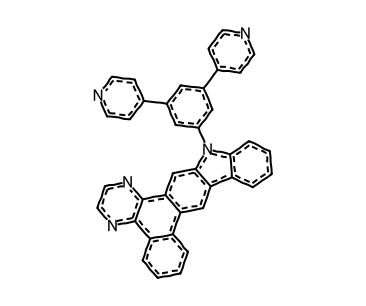 c1ccc2c(c1)c1cc3c4ccccc4n(-c4cc(-c5ccncc5)cc(-c5ccncc5)c4)c3cc1c1nccnc21